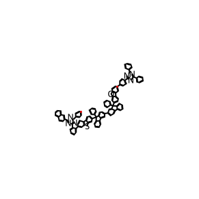 c1ccc(-c2nc(-c3ccccc3)nc(-c3ccc(-c4ccc5oc6cc(C7(c8ccccc8)c8ccccc8-c8ccc(-c9ccc%10c(c9)-c9ccccc9C%10(c9ccccc9)c9ccc%10c(c9)sc9cc(-c%11ccccc%11-c%11nc(-c%12ccccc%12)nc(-c%12ccc%13ccccc%13c%12)n%11)ccc9%10)cc87)ccc6c5c4)cc3)n2)cc1